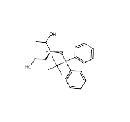 CC(O)[C@H](CCO)O[Si](c1ccccc1)(c1ccccc1)C(C)(C)C